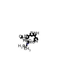 COc1cc(-c2c[nH]c3ncc(-c4cnc(OC5COC5)c(NC(=O)/C=C/CN(C)C)c4)cc23)ccn1